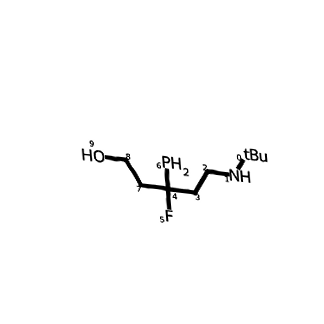 CC(C)(C)NCCC(F)(P)CCO